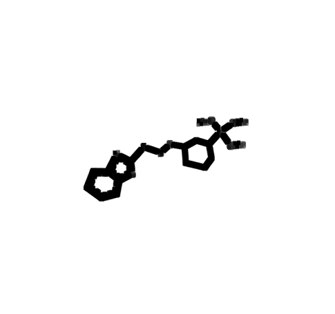 CO[Si](OC)(OC)C1CCCC(SSSc2nc3ccccc3s2)C1